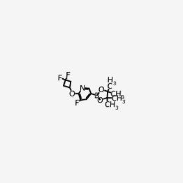 CC1(C)OB(c2cnc(OC3CC(F)(F)C3)c(F)c2)OC1(C)C